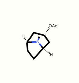 CC(=O)O[C@@H]1C[C@H]2CC[C@@H](C1)N2C